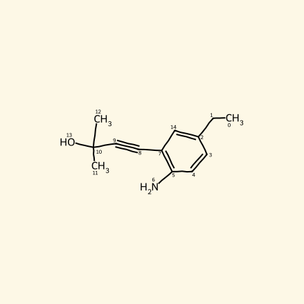 CCc1ccc(N)c(C#CC(C)(C)O)c1